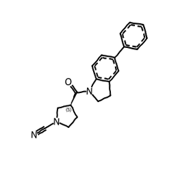 N#CN1CC[C@H](C(=O)N2CCc3cc(-c4ccccc4)ccc32)C1